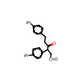 CC(C)c1ccc(CCC(=O)C(CC=O)c2ccc(C(C)C)cc2)cc1